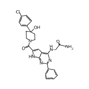 NC(=O)CNc1nc(-c2ccccc2)nc2[nH]c(C(=O)N3CCC(O)(c4ccc(Cl)cc4)CC3)cc12